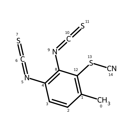 Cc1ccc(N=C=S)c(N=C=S)c1SC#N